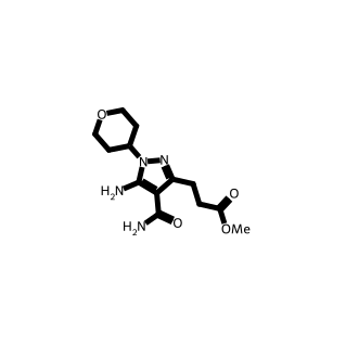 COC(=O)CCc1nn(C2CCOCC2)c(N)c1C(N)=O